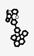 c1ccc(C2(c3ccc(-c4ccc5c(c4)Oc4ccccc4C54c5ccccc5-c5ccccc54)cc3)c3ccccc3-c3ccc4ccccc4c32)cc1